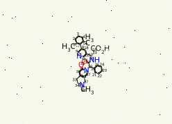 Cc1cccc(C)c1-c1cncc([C@H](CC(=O)O)NC(=O)C(c2ccccc2)n2cc3c(cc2=O)CCN(C)C3)c1